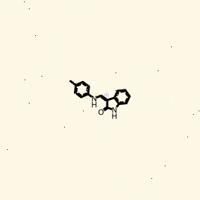 Cc1ccc(N/C=C2\C(=O)Nc3ccccc32)cc1